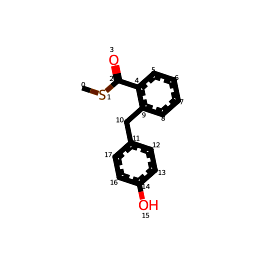 CSC(=O)c1ccccc1Cc1ccc(O)cc1